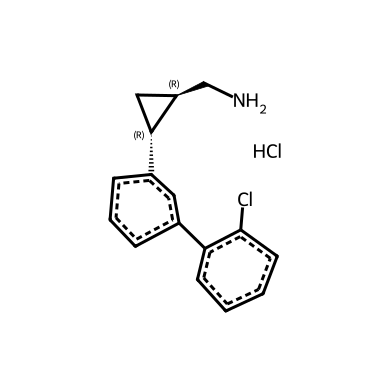 Cl.NC[C@@H]1C[C@H]1c1cccc(-c2ccccc2Cl)c1